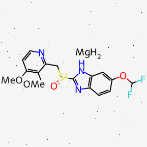 COc1ccnc(C[S@+]([O-])c2nc3ccc(OC(F)F)cc3[nH]2)c1OC.[MgH2]